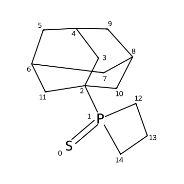 S=P1(C23CC4CC(CC(C4)C2)C3)CCC1